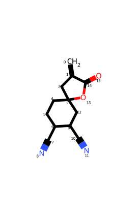 C=C1CC2(CCC(C#N)C(C#N)C2)OC1=O